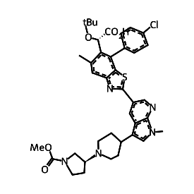 COC(=O)N1CC[C@H](N2CCC(c3cn(C)c4ncc(-c5nc6cc(C)c([C@H](OC(C)(C)C)C(=O)O)c(-c7ccc(Cl)cc7)c6s5)cc34)CC2)C1